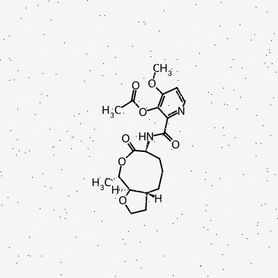 COc1ccnc(C(=O)N[C@H]2CCC[C@@H]3CCO[C@H]3[C@H](C)OC2=O)c1OC(C)=O